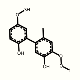 Cc1cc(OOI)c(O)cc1-c1cc(OS)ccc1O